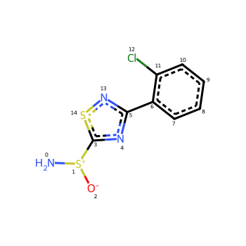 N[S+]([O-])c1nc(-c2ccccc2Cl)ns1